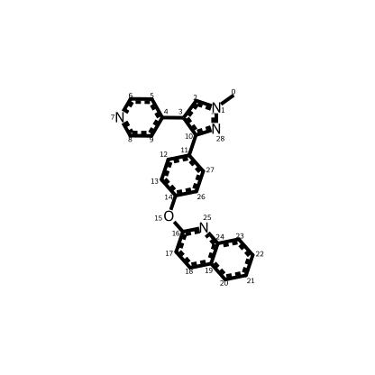 Cn1cc(-c2ccncc2)c(-c2ccc(Oc3ccc4ccccc4n3)cc2)n1